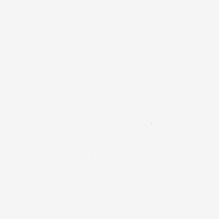 Cc1ccc(/C=C\SCc2ccc(F)cc2)cc1